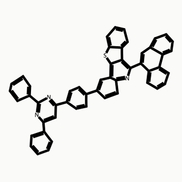 c1ccc(-c2cc(-c3ccc(-c4ccc5nc(-c6cc7ccccc7c7ccccc67)c6c7ccccc7sc6c5c4)cc3)nc(-c3ccccc3)n2)cc1